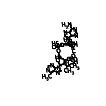 Cc1ncnc2c1ncn2[C@@H]1O[C@@H]2COP(=O)(S)O[C@@H]3[C@H](O)[C@@H](COP(=O)(S)O[C@H]2[C@H]1C(C)C)O[C@H]3n1cnc2c(N)ncnc21